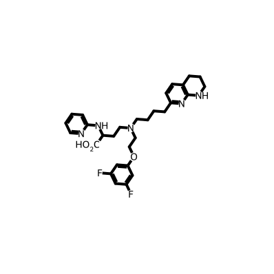 O=C(O)C(CCN(CCCCc1ccc2c(n1)NCCC2)CCOc1cc(F)cc(F)c1)Nc1ccccn1